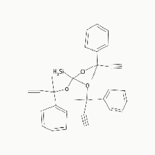 C#CC(C)(OC([SiH3])(OC(C)(C#C)c1ccccc1)OC(C)(C#C)c1ccccc1)c1ccccc1